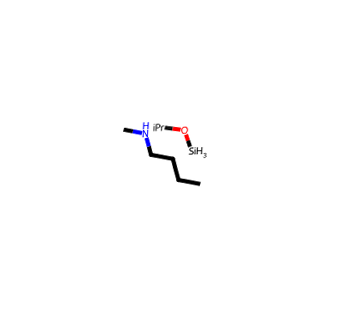 CC(C)O[SiH3].CCCCNC